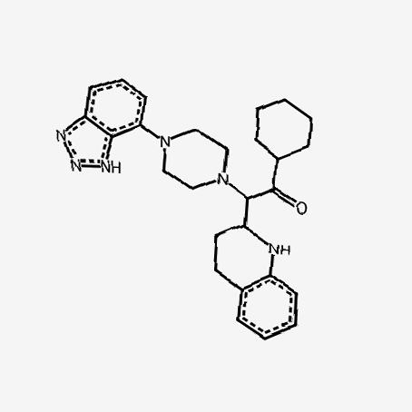 O=C(C1CCCCC1)C(C1CCc2ccccc2N1)N1CCN(c2cccc3nn[nH]c23)CC1